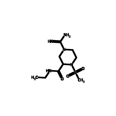 CCNC(=O)C1CN(C(=N)N)CCN1S(C)(=O)=O